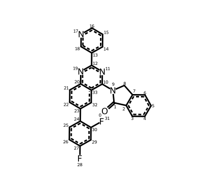 O=C1c2ccccc2CN1c1nc(-c2cccnc2)nc2ccc(-c3ccc(F)cc3F)cc12